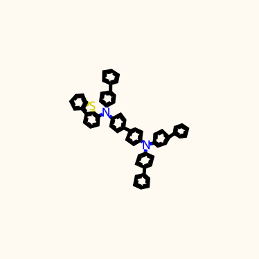 c1ccc(-c2ccc(N(c3ccc(-c4ccccc4)cc3)c3ccc(-c4ccc(N(c5ccc(-c6ccccc6)cc5)c5cccc6c5sc5ccccc56)cc4)cc3)cc2)cc1